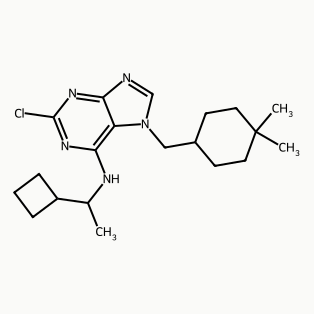 CC(Nc1nc(Cl)nc2ncn(CC3CCC(C)(C)CC3)c12)C1CCC1